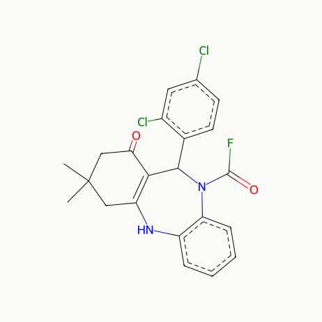 CC1(C)CC(=O)C2=C(C1)Nc1ccccc1N(C(=O)F)C2c1ccc(Cl)cc1Cl